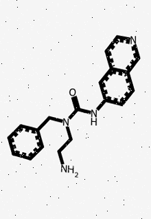 NCCN(Cc1ccccc1)C(=O)Nc1ccc2cnccc2c1